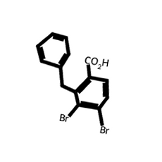 O=C(O)c1ccc(Br)c(Br)c1Cc1ccccc1